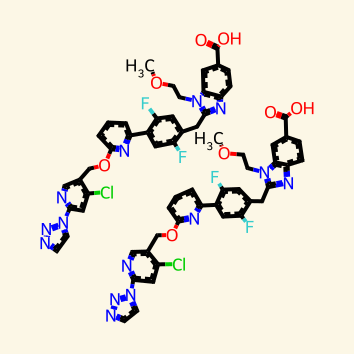 COCCn1c(Cc2cc(F)c(-c3cccc(OCc4cnc(-n5ccnn5)cc4Cl)n3)cc2F)nc2ccc(C(=O)O)cc21.COCCn1c(Cc2cc(F)c(-c3cccc(OCc4cnc(-n5ccnn5)cc4Cl)n3)cc2F)nc2ccc(C(=O)O)cc21